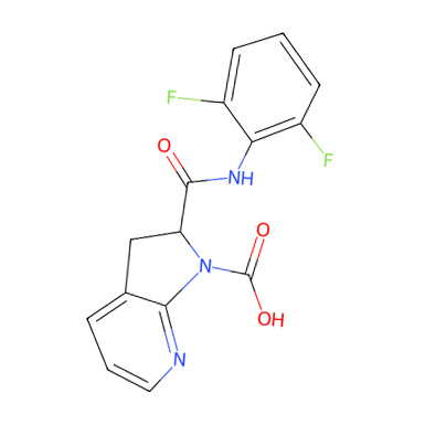 O=C(Nc1c(F)cccc1F)C1Cc2cccnc2N1C(=O)O